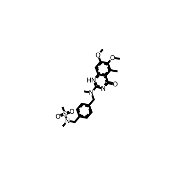 COc1cc2[nH]c(N(C)Cc3ccc(CN(C)S(C)(=O)=O)cc3)nc(=O)c2c(C)c1OC